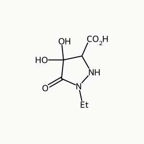 CCN1NC(C(=O)O)C(O)(O)C1=O